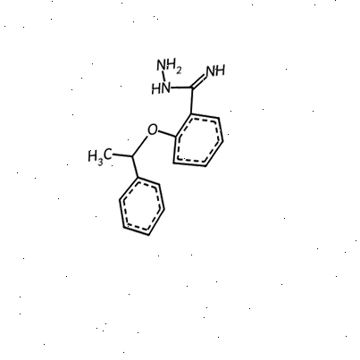 CC(Oc1ccccc1C(=N)NN)c1ccccc1